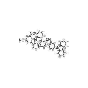 N#CC1=CC2C3=C(C=CCC3)N(C3C(C#N)=CC=CC3c3cccc(-c4ccc(-n5c6ccccc6c6ccccc65)cc4)c3C#N)C2C=C1